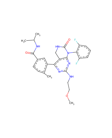 COCCNc1nc(-c2cc(C(=O)NC(C)C)ccc2C)c2c(n1)N(c1c(F)cccc1F)C(=O)NC2